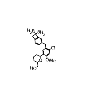 BC1(B)Cc2ccc(Cc3cc(C4CCCC(CO)O4)c(OC)cc3Cl)cc21